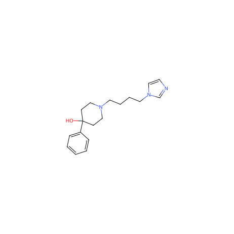 OC1(c2ccccc2)CCN(CCCCn2ccnc2)CC1